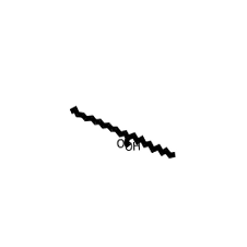 CCCCCCCCCCCCCCC(CCCCCCCCCCC)C(=O)O